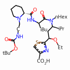 CCCCCCN(C(=O)C(NC(=O)[C@H]1CCCCN1CCNC(=O)OC(C)(C)C)C(C)CC)C(CC(OCC)c1nc(C(=O)O)cs1)C(C)C